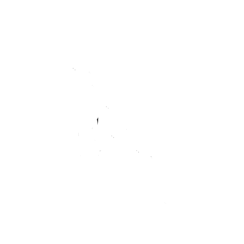 C=CCNC(=O)C(=O)C(CCC)NC(=O)[C@@H]1[C@H]2[C@@H](CN1C(=O)C(NC(=O)OC1CCC[C@@H]1C)C1CCCCC1)C2(C)C